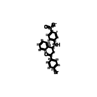 O=C(CC(Nc1ccc([N+](=O)[O-])cc1)c1ccccc1)c1ccc(Br)cc1